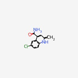 C=C1C=C(C(N)=O)c2cc(Cl)ccc2N1